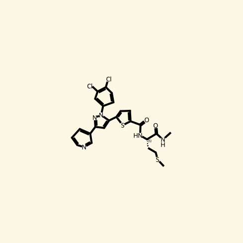 CNC(=O)[C@H](CCSC)NC(=O)c1ccc(-c2cc(-c3cccnc3)nn2-c2ccc(Cl)c(Cl)c2)s1